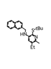 CCc1cc(NCc2ccc3ccccc3c2)c(SC(C)(C)C)nc1C